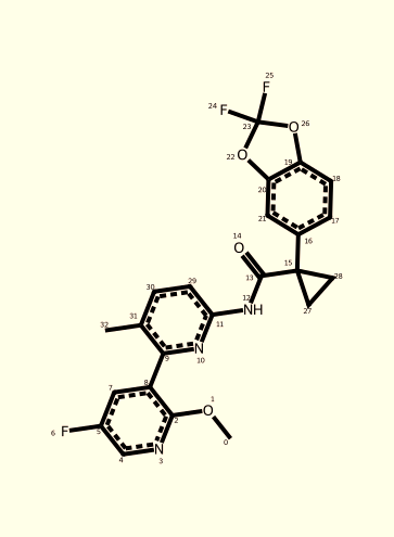 COc1ncc(F)cc1-c1nc(NC(=O)C2(c3ccc4c(c3)OC(F)(F)O4)CC2)ccc1C